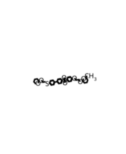 CC1CCCC(OCCOc2ccc(S(=O)(=O)c3ccc(-c4ccc(SCCOC5CCCCO5)cc4)cc3)cc2)O1